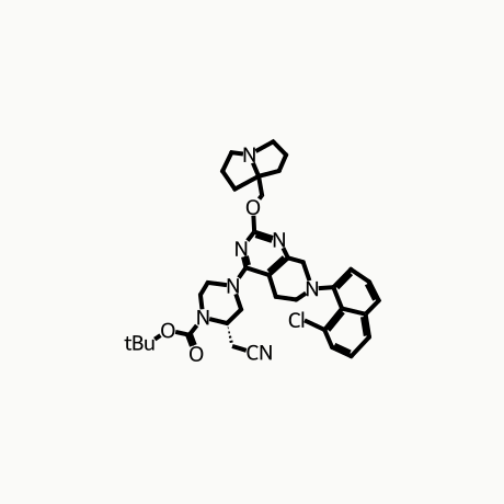 CC(C)(C)OC(=O)N1CCN(c2nc(OCC34CCCN3CCC4)nc3c2CCN(c2cccc4cccc(Cl)c24)C3)C[C@@H]1CC#N